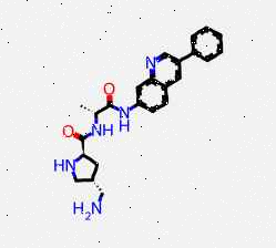 C[C@@H](NC(=O)[C@H]1C[C@H](CN)CN1)C(=O)Nc1ccc2cc(-c3ccccc3)cnc2c1